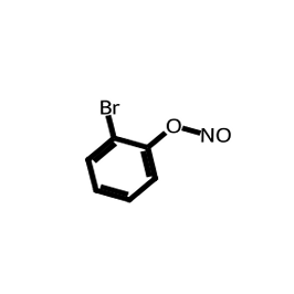 O=NOc1ccccc1Br